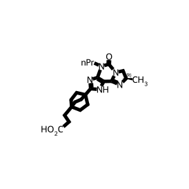 CCCN1C(=O)N2C[C@@H](C)N=C2c2[nH]c(C34CCC(CCC(=O)O)(CC3)CC4)nc21